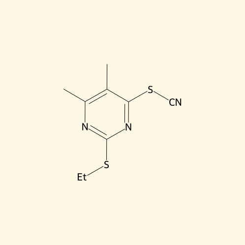 CCSc1nc(C)c(C)c(SC#N)n1